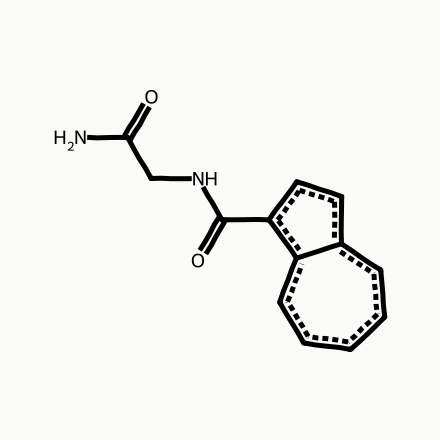 NC(=O)CNC(=O)c1ccc2cccccc1-2